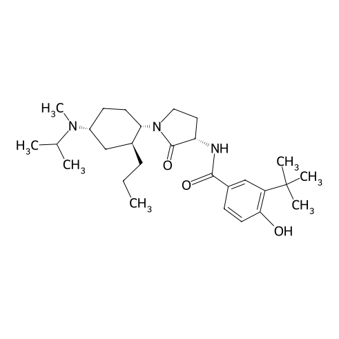 CCC[C@H]1C[C@H](N(C)C(C)C)CC[C@@H]1N1CC[C@H](NC(=O)c2ccc(O)c(C(C)(C)C)c2)C1=O